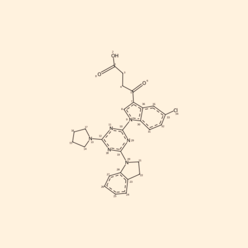 O=C(O)CCC(=O)c1cn(-c2nc(N3CCCC3)nc(N3CCc4ccccc43)n2)c2ccc(Cl)cc12